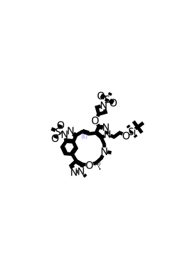 C[C@H]1CN(C)Cc2c(c(OC3CN(S(C)(=O)=O)C3)nn2CCO[Si](C)(C)C(C)(C)C)/C=C/c2nn(S(C)(=O)=O)c3ccc(cc23)-c2cnn(C)c2O1